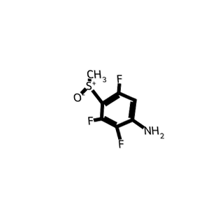 C[S+]([O-])c1c(F)cc(N)c(F)c1F